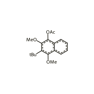 COc1c(C(C)(C)C)c(OC)c2ccccc2c1OC(C)=O